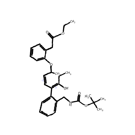 CCOC(=O)Cc1ccccc1OC(C)/C=C\C(=C(\O)CC)c1ccccc1CNC(=O)OC(C)(C)C